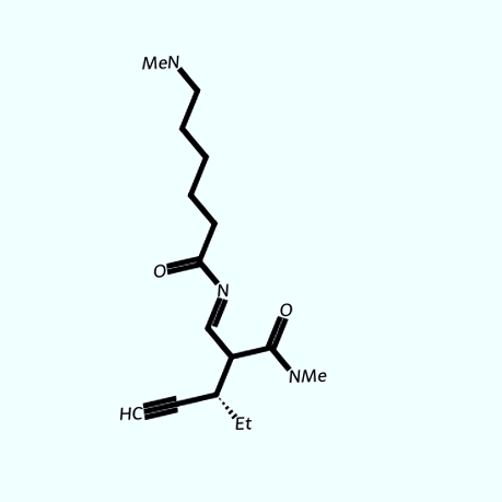 C#C[C@@H](CC)C(/C=N/C(=O)CCCCCNC)C(=O)NC